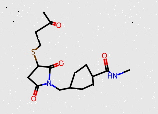 CNC(=O)C1CCC(CN2C(=O)CC(SCCC(C)=O)C2=O)CC1